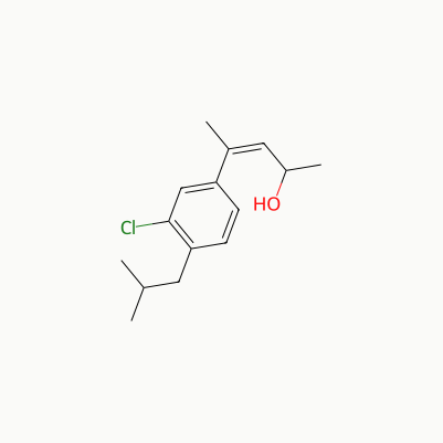 C/C(=C/C(C)O)c1ccc(CC(C)C)c(Cl)c1